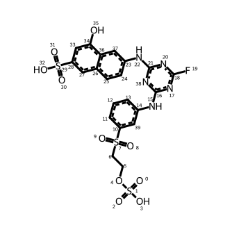 O=S(=O)(O)OCCS(=O)(=O)c1cccc(Nc2nc(F)nc(Nc3ccc4cc(S(=O)(=O)O)cc(O)c4c3)n2)c1